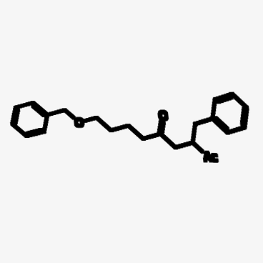 CC(=O)C(CC(=O)CCCCOCc1ccccc1)Cc1ccccc1